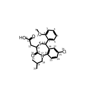 COc1ccccc1C1SC(CC(=O)O)C(=O)N(CC(C)C)c2ccc(Cl)cc21